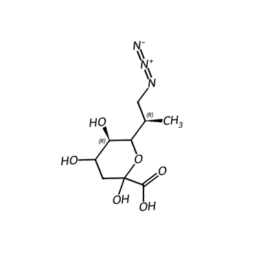 C[C@H](CN=[N+]=[N-])C1OC(O)(C(=O)O)CC(O)[C@H]1O